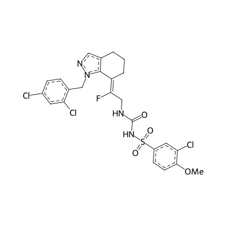 COc1ccc(S(=O)(=O)NC(=O)NCC(F)=C2CCCc3cnn(Cc4ccc(Cl)cc4Cl)c32)cc1Cl